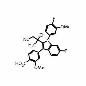 COc1cc(-n2c(C(C)(C)CC#N)c(-c3ccc(C(=O)O)c(OC)c3)c3ccc(F)cc32)ccc1F